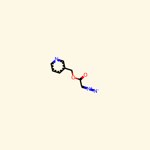 [N-]=[N+]=CC(=O)OCc1cccnc1